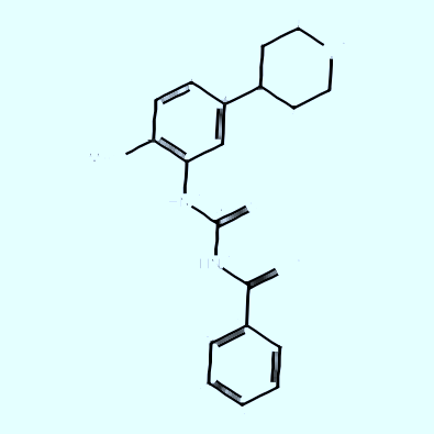 COc1ccc(C2CCOCC2)cc1NC(=S)NC(=O)c1ccccc1